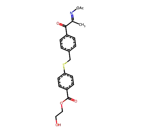 CC(=O)O/N=C(\C)C(=O)c1ccc(CSc2ccc(C(=O)OCCO)cc2)cc1